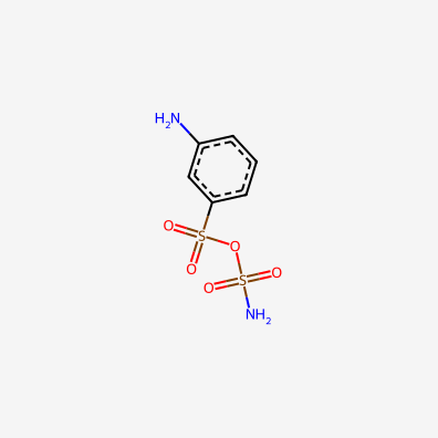 Nc1cccc(S(=O)(=O)OS(N)(=O)=O)c1